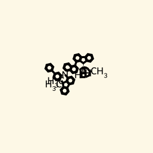 C[C@H]1CC2C[C@@H]3C[C@@](C4c5ccccc5-c5cccc(-c6cccc7c(N(c8cccc(-c9ccccc9)c8)c8cccc9c8C(C)(C)c8ccccc8-9)cccc67)c54)(C1)C[C@H]23